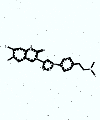 CCc1cc2[nH]c(=O)c(-c3cn(-c4ccc(CCN(C)C)cc4)nn3)cc2cc1F